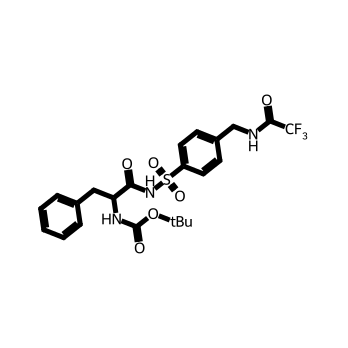 CC(C)(C)OC(=O)NC(Cc1ccccc1)C(=O)NS(=O)(=O)c1ccc(CNC(=O)C(F)(F)F)cc1